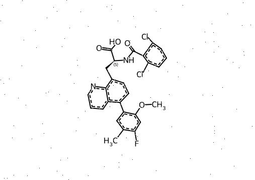 COc1cc(F)c(C)cc1-c1ccc(C[C@H](NC(=O)c2c(Cl)cccc2Cl)C(=O)O)c2ncccc12